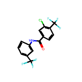 O=C(Nc1cccc(C(F)(F)F)c1)c1ccc(C(F)(F)F)c(Cl)c1